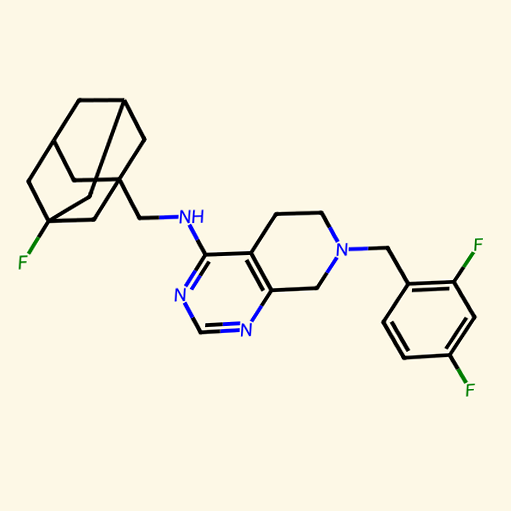 Fc1ccc(CN2CCc3c(ncnc3NCC34CC5CC(CC(F)(C5)C3)C4)C2)c(F)c1